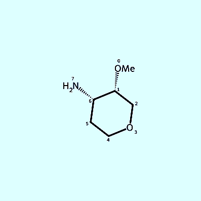 CO[C@@H]1COCC[C@@H]1N